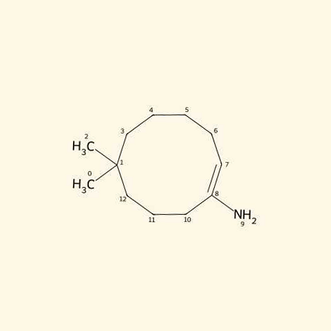 CC1(C)CCCC/C=C(/N)CCC1